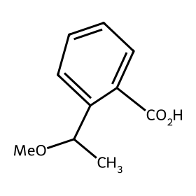 COC(C)c1ccccc1C(=O)O